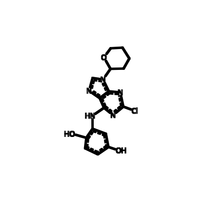 Oc1ccc(O)c(Nc2nc(Cl)nc3c2ncn3C2CCCCO2)c1